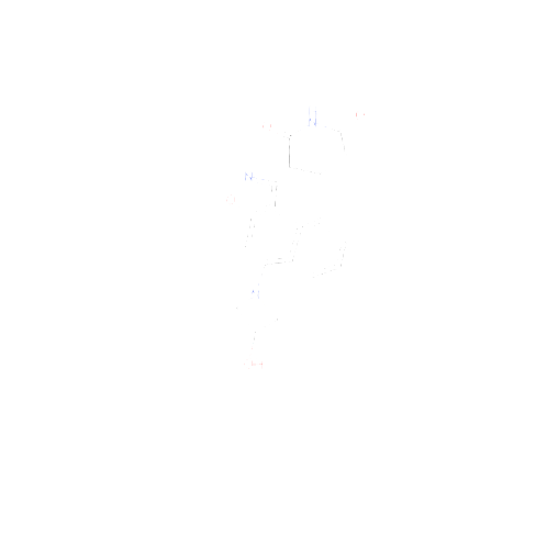 O=C1CCC(c2noc3cc(N4CC(O)C4)c4ccccc4c23)C(=O)N1